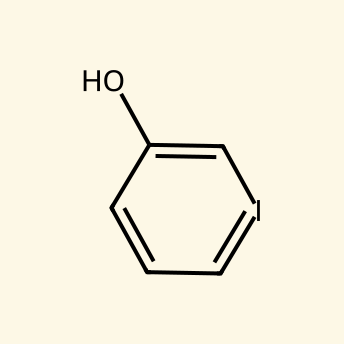 OC1=CI=CC=C1